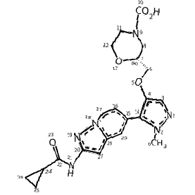 Cn1ncc(OC[C@H]2CN(C(=O)O)CCO2)c1-c1ccn2nc(NC(=O)C3CC3)cc2c1